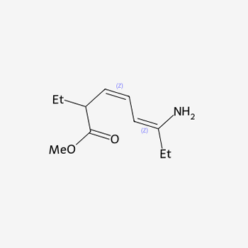 CC/C(N)=C/C=C\C(CC)C(=O)OC